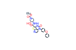 CC(C)(C)OC(=O)N1CC[C@@H](NC(=O)c2sc3nccc4c3c2NC(=O)N4c2ccc(Oc3ccccc3)cc2)[C@H](O)C1